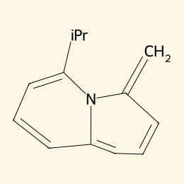 C=C1C=CC=C2C=CC=C(C(C)C)N12